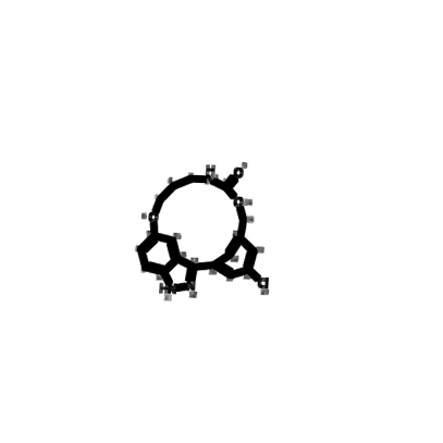 O=C1NCCCOc2ccc3[nH]nc(c3c2)-c2cc(Cl)cc(c2)CO1